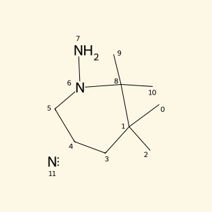 CC1(C)CCCN(N)C1(C)C.[N]